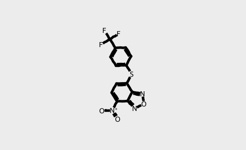 O=[N+]([O-])c1ccc(Sc2ccc(C(F)(F)F)cc2)c2nonc12